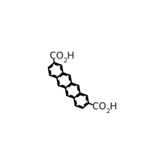 O=C(O)c1ccc2cc3cc4ccc(C(=O)O)cc4cc3cc2c1